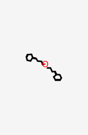 C1=CCC(=CCCCOCCCC=C2CC=CCC2)CC1